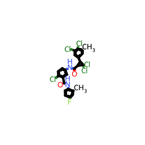 Cc1cc(F)ccc1NC(=O)c1cc(NC(=O)C2C(c3cc(C)c(Cl)c(Cl)c3)C2(Cl)Cl)ccc1Cl